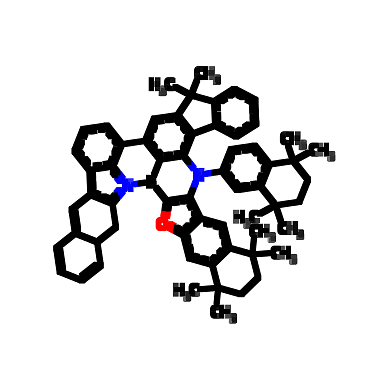 CC1(C)CCC(C)(C)c2cc(N3c4c5c(cc6c4-c4ccccc4C6(C)C)-c4cccc6c7c(n(c46)B5c4oc5cc6c(cc5c43)C(C)(C)CCC6(C)C)CC3C=CC=CC3=C7)ccc21